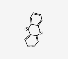 c1ccc2c(c1)[Si]c1ccccc1[Si]2